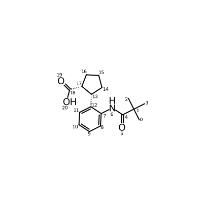 CC(C)(C)C(=O)Nc1ccccc1[C@H]1CCC[C@H]1C(=O)O